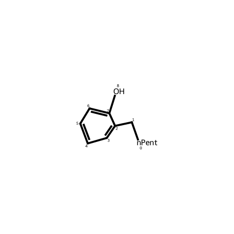 CCCCCCc1ccccc1O